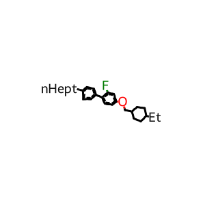 CCCCCCCc1ccc(-c2ccc(OCC3CCC(CC)CC3)cc2F)cc1